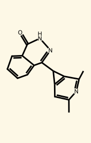 Cc1cc2c(c(C)n1)C2c1n[nH]c(=O)c2ccccc12